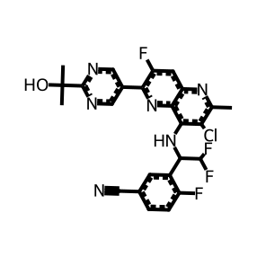 Cc1nc2cc(F)c(-c3cnc(C(C)(C)O)nc3)nc2c(NC(c2cc(C#N)ccc2F)C(F)F)c1Cl